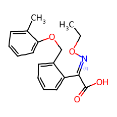 CCO/N=C(/C(=O)O)c1ccccc1COc1ccccc1C